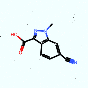 Cn1nc(C(=O)O)c2ccc(C#N)cc21